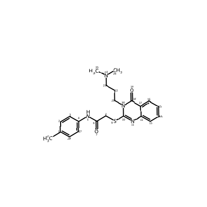 Cc1ccc(NC(=O)CSc2nc3ccccc3c(=O)n2CCCN(C)C)cc1